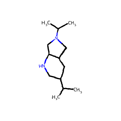 CC(C)C1CNC2CN(C(C)C)CC2C1